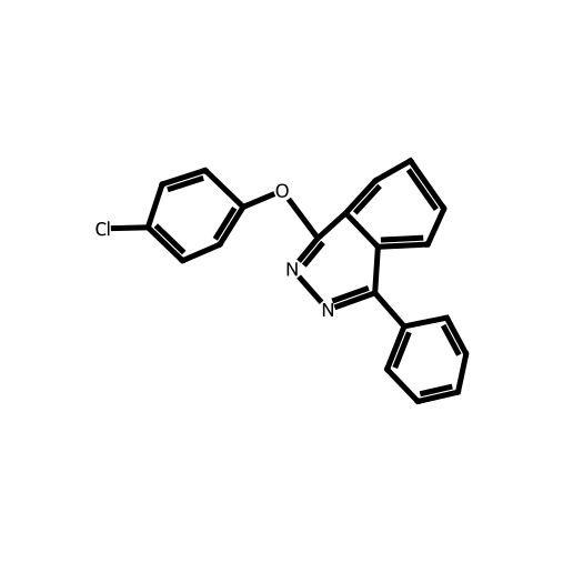 Clc1ccc(Oc2nnc(-c3ccccc3)c3ccccc23)cc1